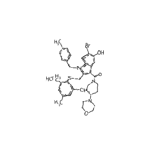 Cc1ccc(Cn2c(CSc3c(C)cc(C)cc3C)c(C(=O)N3CCC(N4CCOCC4)CC3)c3cc(O)c(Br)cc32)cc1.Cl